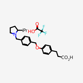 CC(C)C1CCCN1Cc1ccc(COc2ccc(CCC(=O)O)cc2)cc1.O=C(O)C(F)(F)F